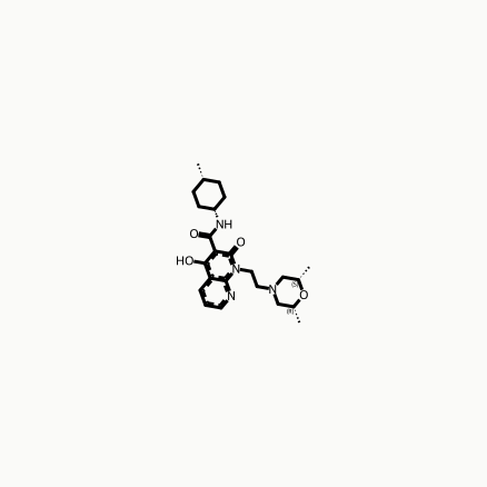 C[C@@H]1CN(CCn2c(=O)c(C(=O)N[C@H]3CC[C@@H](C)CC3)c(O)c3cccnc32)C[C@H](C)O1